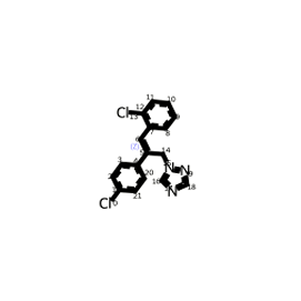 Clc1ccc(/C(=C/c2ccccc2Cl)Cn2cncn2)cc1